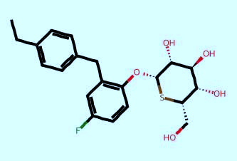 CCc1ccc(Cc2cc(F)ccc2O[C@H]2S[C@@H](CO)[C@@H](O)[C@H](O)[C@H]2O)cc1